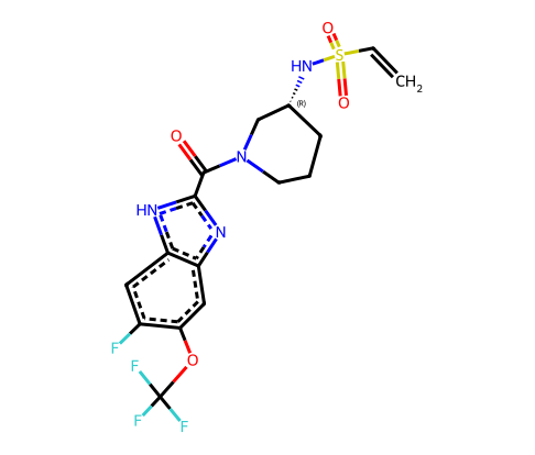 C=CS(=O)(=O)N[C@@H]1CCCN(C(=O)c2nc3cc(OC(F)(F)F)c(F)cc3[nH]2)C1